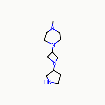 CN1CCN(C2CN(C3CCNC3)C2)CC1